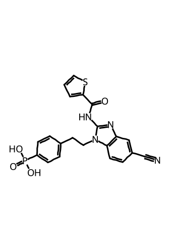 N#Cc1ccc2c(c1)nc(NC(=O)c1cccs1)n2CCc1ccc(P(=O)(O)O)cc1